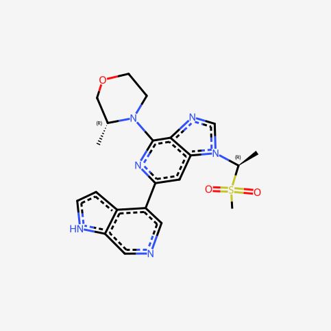 C[C@@H]1COCCN1c1nc(-c2cncc3[nH]ccc23)cc2c1ncn2[C@@H](C)S(C)(=O)=O